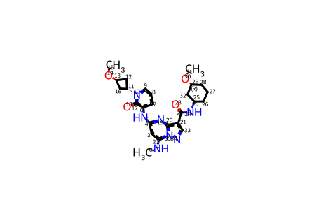 CNc1cc(Nc2cccn([C@H]3C[C@H](OC)C3)c2=O)nc2c(C(=O)N[C@@H]3CCC[C@@H](OC)C3)cnn12